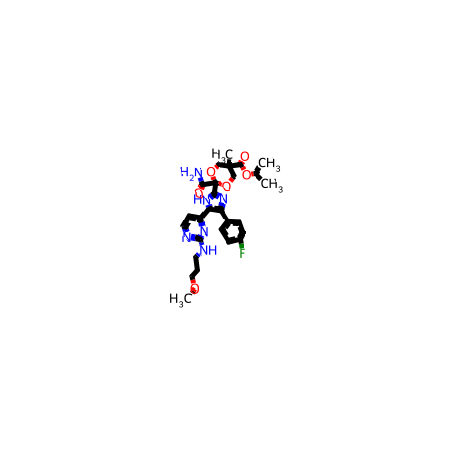 COCCCNc1nccc(-c2[nH]c(C3(C(N)=O)OCC(C)(C(=O)OC(C)C)CO3)nc2-c2ccc(F)cc2)n1